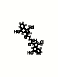 O=C(CCNC(=O)N1CC(CCl)c2c1cc(O)c1ccccc21)N1CC(CCl)c2c1cc(O)c1ccccc21